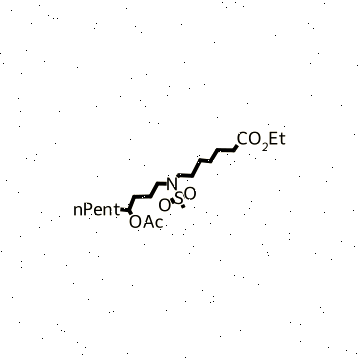 CCCCCC(CCCN(CCCCCCC(=O)OCC)S(C)(=O)=O)OC(C)=O